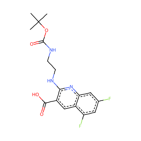 CC(C)(C)OC(=O)NCCNc1nc2cc(F)cc(F)c2cc1C(=O)O